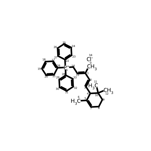 CC(C=CC1C(C)=CCCC1(C)C)=CC[P+](c1ccccc1)(c1ccccc1)c1ccccc1.[Cl-]